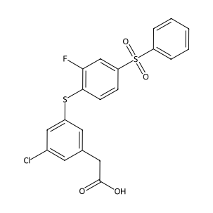 O=C(O)Cc1cc(Cl)cc(Sc2ccc(S(=O)(=O)c3ccccc3)cc2F)c1